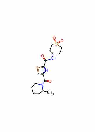 CC1CCCCN1C(=O)c1csc(C(=O)NC2CCS(=O)(=O)CC2)n1